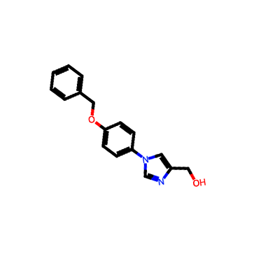 OCc1cn(-c2ccc(OCc3ccccc3)cc2)cn1